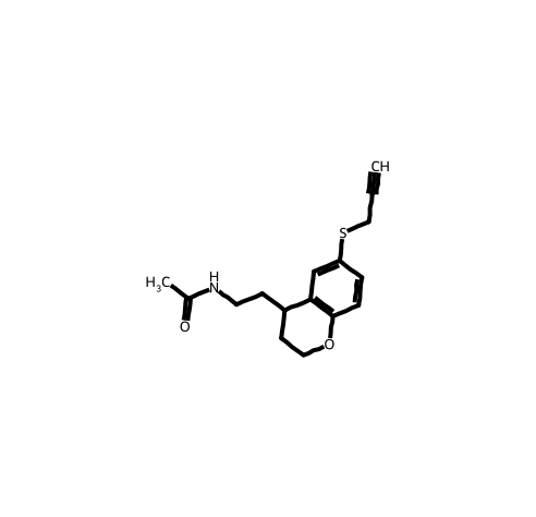 C#CCSc1ccc2c(c1)C(CCNC(C)=O)CCO2